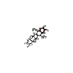 Cc1cc2c(cc1C)Oc1cc3c(cc1O2)C1(C(C)C)c2ccccc2C3(C(C)C)c2cc(C)c(C)cc21